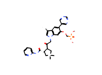 CCOP(=O)(COc1cc2c(cc1-c1cncnc1)c(C(C)=O)cn2CC(=O)C1C[Si](C)(C)C[C@H]1C(=O)Nc1ccccn1)OCC